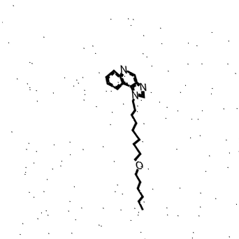 CCCCCCOCCCCCCCCCn1cnc2cnc3ccccc3c21